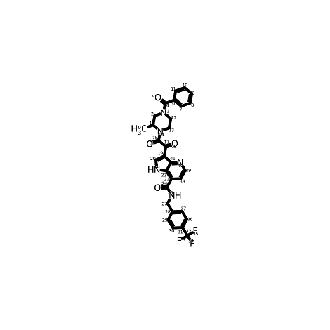 CC1CN(C(=O)c2ccccc2)CCN1C(=O)C(=O)c1c[nH]c2c(C(=O)NCc3ccc(C(F)(F)F)cc3)ccnc12